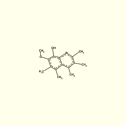 COc1c(C)c(C)c2c(C)c(C)c(C)nc2c1O